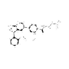 COc1cc(-c2cnc3[nH]nc(-c4ccccc4OC)c3c2)ccc1C(=O)NCCN(C)C